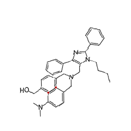 CCCCn1c(-c2ccccc2)nc(-c2ccccc2)c1CN(Cc1ccc(CO)cc1)Cc1ccc(N(C)C)cc1